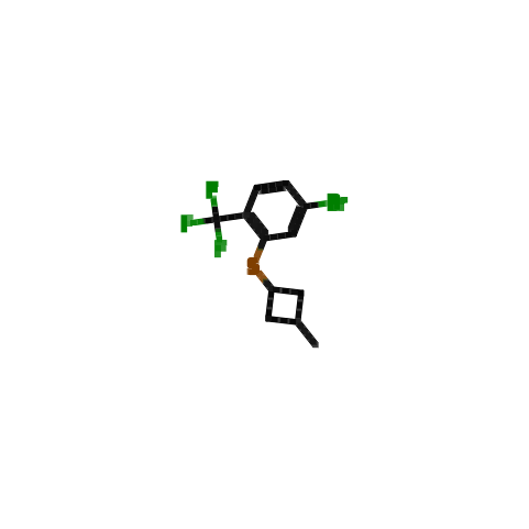 CC1CC(Sc2cc(Br)ccc2C(F)(F)F)C1